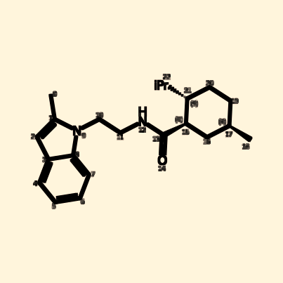 Cc1cc2ccccc2n1CCNC(=O)[C@@H]1C[C@H](C)CC[C@H]1C(C)C